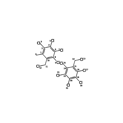 Cc1c(Cl)c(Cl)c(Cl)c(Cl)c1CCl.ClCc1c(Cl)c(Cl)c(Cl)c(Cl)c1Cl